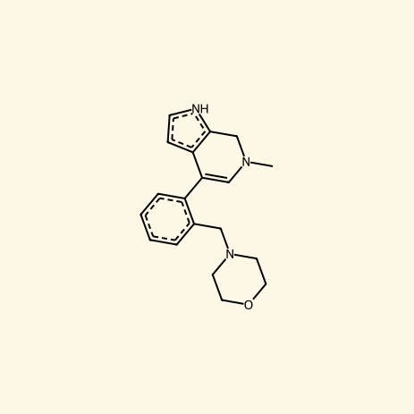 CN1C=C(c2ccccc2CN2CCOCC2)c2cc[nH]c2C1